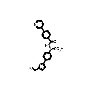 O=C(NN(C(=O)O)c1ccc(-c2ccc(CO)s2)cc1)c1ccc(-c2cccnc2)cc1